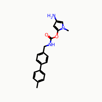 Cc1ccc(-c2ccc(CNC(=O)Oc3cc(N)cn3C)cc2)cc1